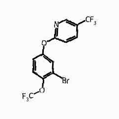 FC(F)(F)Oc1ccc(Oc2ccc(C(F)(F)F)cn2)cc1Br